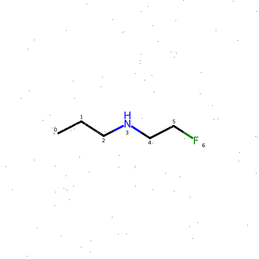 [CH2]CCNCCF